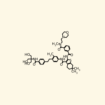 Cc1cc(NC(=O)c2c(NC(=O)c3cccc(C(=O)N(C)CCN4CCOCC4)c3)sc3c2CCC(C)(C)C3)ccc1CCc1ccc(C(=O)NC(CO)(CO)CO)cc1